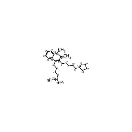 CCCN(CCC)CCCCC1=C(CCCCCC2CCCC2)C(C)N(C)c2ccccc21